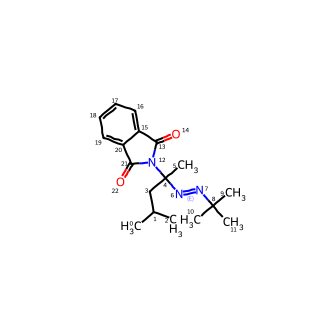 CC(C)CC(C)(/N=N/C(C)(C)C)N1C(=O)c2ccccc2C1=O